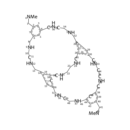 CNCc1cc2cc(c1)CNCCNCc1cc3cc(c1)CNCCNCc1cc(cc(c1)CNCCNCc1cc(CNC)cc(c1)CNCCNC3)CNCCNC2